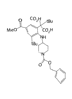 COC(=O)c1cc(C(C)(C)C)c(NC2CCN(C(=O)OCc3ccccc3)CC2)c(C(C(=O)O)(C(=O)O)C(C)(C)C)c1